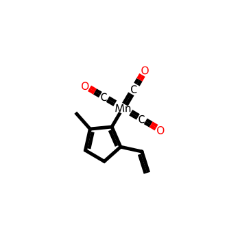 C=CC1=[C]([Mn](=[C]=O)(=[C]=O)=[C]=O)C(C)=CC1